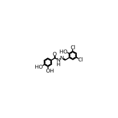 O=C(N/N=C/c1cc(Cl)cc(Cl)c1O)c1ccc(O)c(O)c1